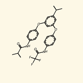 CC(C)C(=O)Nc1ccc(Oc2cc(Oc3ccc(NC(=O)C(F)(F)F)cc3)cc(C(C)C)c2)cc1